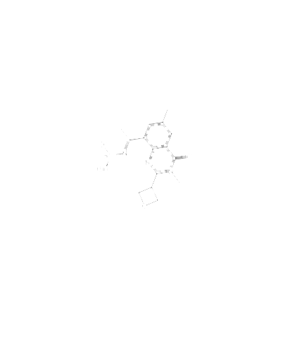 CC(=N[S@+]([O-])C(C)(C)C)c1cc(C)cc2c(=O)n(C)c(C3COC3)nc12